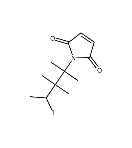 CC(I)C(C)(C)C(C)(C)N1C(=O)C=CC1=O